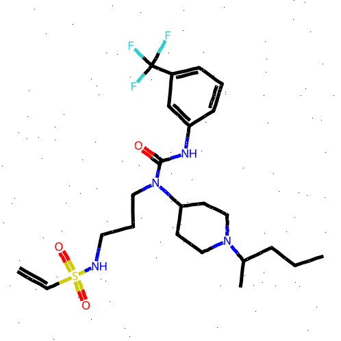 C=CS(=O)(=O)NCCCN(C(=O)Nc1cccc(C(F)(F)F)c1)C1CCN(C(C)CCC)CC1